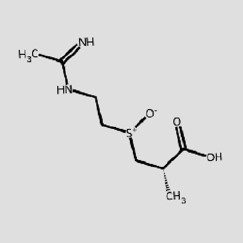 CC(=N)NCC[S+]([O-])C[C@@H](C)C(=O)O